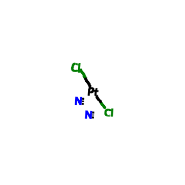 [Cl][Pt][Cl].[N].[N]